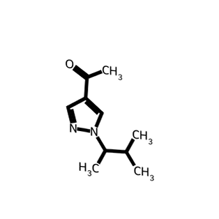 CC(=O)c1cnn(C(C)C(C)C)c1